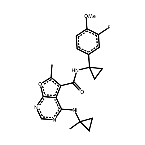 COc1ccc(C2(NC(=O)c3c(C)oc4ncnc(NC5(C)CC5)c34)CC2)cc1F